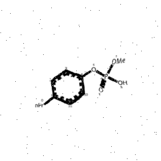 CCCc1ccc(OP(=O)(O)OC)cc1